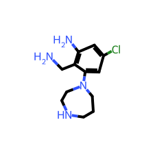 NCc1c(N)cc(Cl)cc1N1CCCNCC1